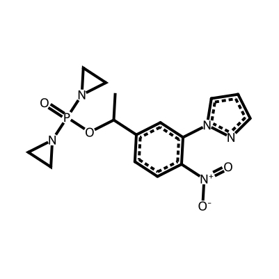 CC(OP(=O)(N1CC1)N1CC1)c1ccc([N+](=O)[O-])c(-n2cccn2)c1